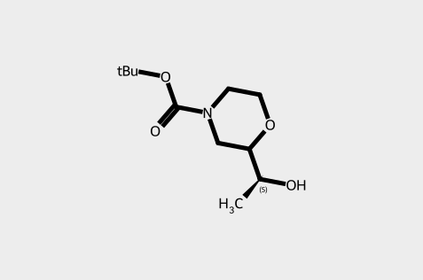 C[C@H](O)C1CN(C(=O)OC(C)(C)C)CCO1